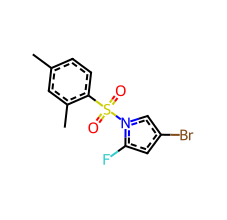 Cc1ccc(S(=O)(=O)n2cc(Br)cc2F)c(C)c1